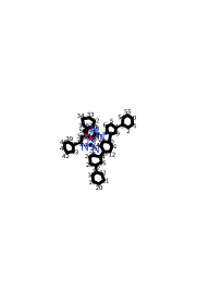 c1ccc(-c2ccc3c(c2)c2ccc4c5cc(-c6ccccc6)ccc5n(-c5nc(-c6ccccc6)cc(-c6ccccc6)n5)c4c2n3-c2ccccn2)cc1